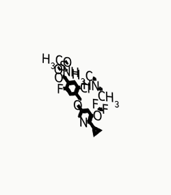 CCNCC.CS(=O)(=O)NC(=O)c1cc(Cl)c(COc2cnc(C3CC3)c(OC(F)F)c2)cc1F